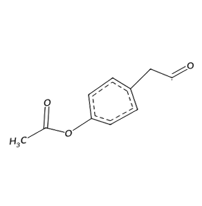 CC(=O)Oc1ccc(C[C]=O)cc1